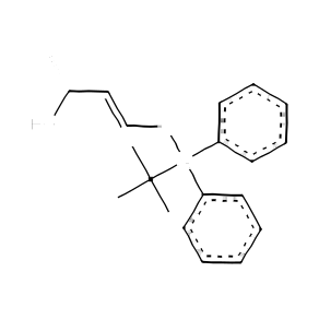 C[C@@H](O)C=CO[Si](c1ccccc1)(c1ccccc1)C(C)(C)C